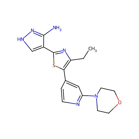 CCc1nc(-c2c[nH]nc2N)sc1-c1ccnc(N2CCOCC2)c1